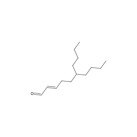 CCCCC(CC/C=C/C=O)CCCC